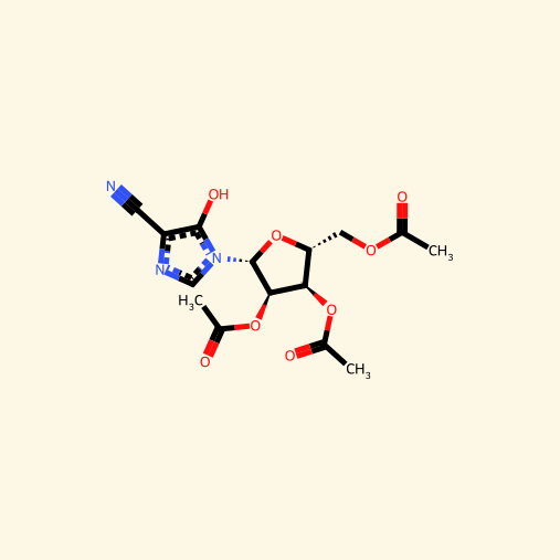 CC(=O)OC[C@H]1O[C@@H](n2cnc(C#N)c2O)[C@H](OC(C)=O)[C@@H]1OC(C)=O